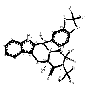 [2H]C1([2H])Oc2ccc([C@]3([2H])c4[nH]c5ccccc5c4C[C@]4([2H])C(=O)N(C([2H])([2H])[2H])C([2H])([2H])C(=O)N34)cc2O1